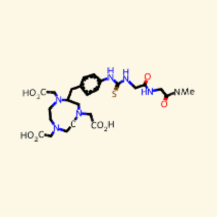 CNC(=O)CNC(=O)CNC(=S)Nc1ccc(CC2CN(CC(=O)O)CCN(CC(=O)O)CCN2CC(=O)O)cc1